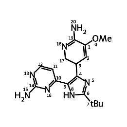 COC1=CC(c2nc(C(C)(C)C)[nH]c2-c2ccnc(N)n2)CN=C1N